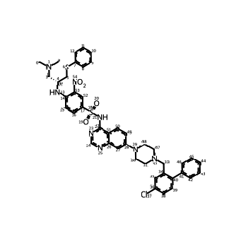 CN(C)C[C@H](CSc1ccccc1)Nc1ccc(S(=O)(=O)Nc2ncnc3cc(N4CCN(Cc5cc(Cl)ccc5-c5ccccc5)CC4)ccc23)cc1[N+](=O)[O-]